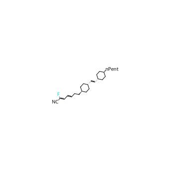 CCCCC[C@H]1CC[C@H](C=C[C@H]2CC[C@H](CCC=CC=C(F)C#N)CC2)CC1